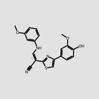 COc1cccc(N/C=C(/C#N)c2nc(-c3ccc(O)c(OC)c3)cs2)c1